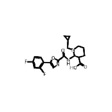 O=C(NC1C(C(=O)O)CCCN1CC1CC1)c1ncc(-c2ccc(F)cc2F)o1